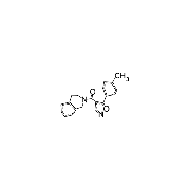 Cc1ccc(-c2oncc2C(=O)N2CCc3ccccc3C2)cc1